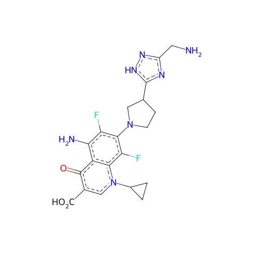 NCc1n[nH]c(C2CCN(c3c(F)c(N)c4c(=O)c(C(=O)O)cn(C5CC5)c4c3F)C2)n1